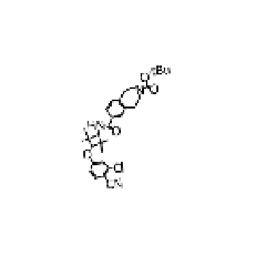 CC(C)(C)OC(=O)N1CCc2ccc(C(=O)NC3C(C)(C)C(Oc4ccc(C#N)c(Cl)c4)C3(C)C)cc2CC1